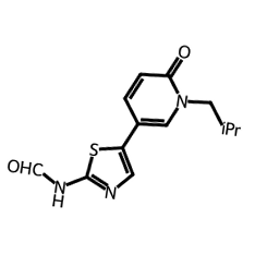 CC(C)Cn1cc(-c2cnc(NC=O)s2)ccc1=O